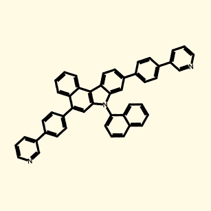 c1cncc(-c2ccc(-c3ccc4c5c6ccccc6c(-c6ccc(-c7cccnc7)cc6)cc5n(-c5cccc6ccccc56)c4c3)cc2)c1